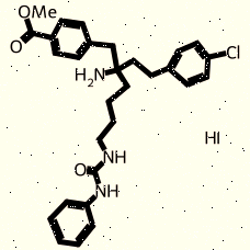 COC(=O)c1ccc(CC(N)(CCCCNC(=O)Nc2ccccc2)CCc2ccc(Cl)cc2)cc1.I